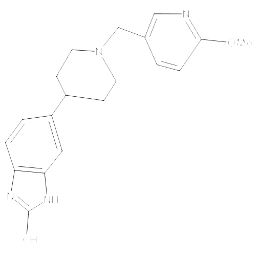 COc1ccc(CN2CCC(c3ccc4nc(C)[nH]c4c3)CC2)cn1